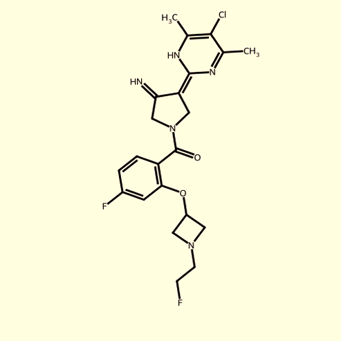 CC1=N/C(=C2\CN(C(=O)c3ccc(F)cc3OC3CN(CCF)C3)CC2=N)NC(C)=C1Cl